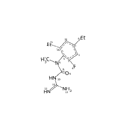 CCc1cc(F)c(N(C)C(=O)NC(=N)N)c(CC)c1